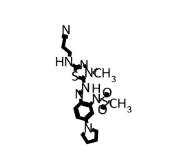 C[n+]1nc(NCCC#N)sc1N=Nc1ccc(N2CCCC2)cc1NS(C)(=O)=O